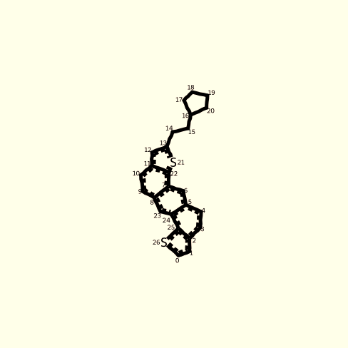 c1cc2ccc3cc4c(ccc5cc(CCC6CCCC6)sc54)cc3c2s1